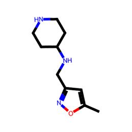 Cc1cc(CNC2CCNCC2)no1